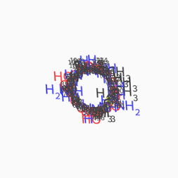 CCCC[C@H]1C(=O)N(C)[C@@H](CCCC)C(=O)N[C@@H](CC(C)C)C(=O)N[C@H](C(=O)NCC(N)=O)CSCC(=O)N[C@@H](Cc2ccc(O)cc2)C(=O)N(C)[C@@H](C)C(=O)N[C@@H](CO)C(=O)N2CCC[C@H]2C(=O)N[C@@H](Cc2cnc[nH]2)C(=O)N[C@@H](CCC(N)=O)C(=O)N2C[C@H](O)C[C@H]2C(=O)N[C@@H](Cc2c[nH]c3ccccc23)C(=O)N[C@@H](CO)C(=O)N[C@@H](Cc2c[nH]c3ccccc23)C(=O)N1C